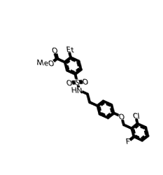 CCc1ccc(S(=O)(=O)NCCc2ccc(OCc3c(F)cccc3Cl)cc2)cc1C(=O)OC